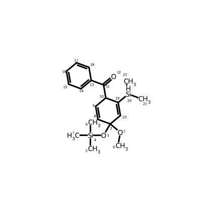 COC1(O[Si](C)(C)C)C=CC(C(=O)c2ccccc2)C([SiH](C)C)=C1